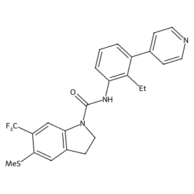 CCc1c(NC(=O)N2CCc3cc(SC)c(C(F)(F)F)cc32)cccc1-c1ccncc1